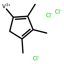 CC1=C(C)C(C)=[C]([V+3])C1.[Cl-].[Cl-].[Cl-]